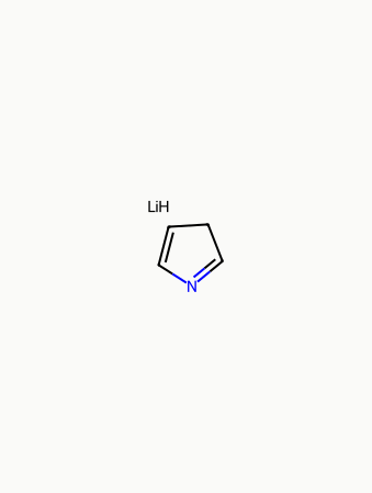 C1=CN=CC1.[LiH]